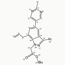 C=CCc1cc(-c2cnc(C)nc2)cc2c(C(C)=O)nn(CC(=O)OC(C)(C)C)c12